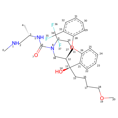 CNC[C@H](C)NC(=O)N1CCC[C@@H]([C@@](O)(CCCCOC)c2ccccc2Oc2ccccc2C(F)(F)F)C1